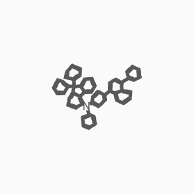 c1ccc(-c2ccc(-c3ccc(N(c4ccccc4)c4cccc5c4-c4ccccc4C5(c4ccccc4)c4ccccc4)cc3)c3ccccc23)cc1